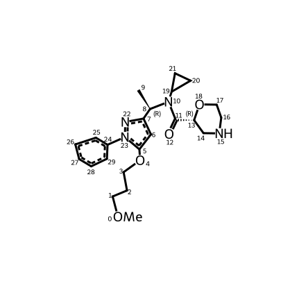 COCCCOc1cc([C@@H](C)N(C(=O)[C@H]2CNCCO2)C2CC2)nn1-c1ccccc1